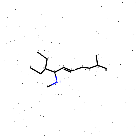 CCC(CC)C(/C=C/CCC(C)C)NC